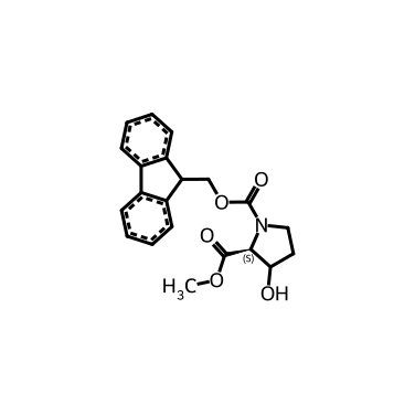 COC(=O)[C@@H]1C(O)CCN1C(=O)OCC1c2ccccc2-c2ccccc21